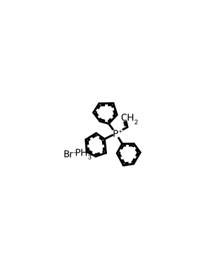 C=C[P+](c1ccccc1)(c1ccccc1)c1ccccc1.P.[Br-]